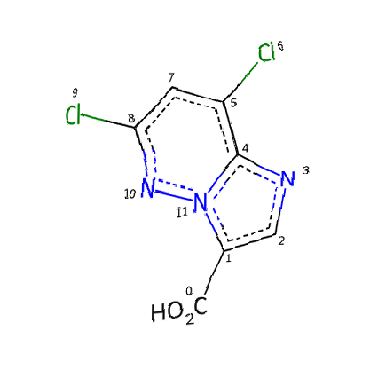 O=C(O)c1cnc2c(Cl)cc(Cl)nn12